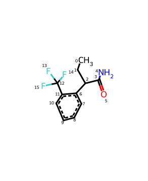 CCC(C(N)=O)c1ccccc1C(F)(F)F